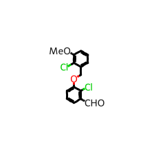 COc1cccc(COc2cccc(C=O)c2Cl)c1Cl